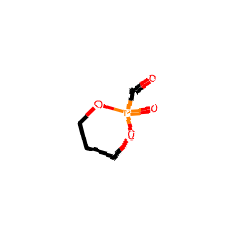 O=CP1(=O)OCCCO1